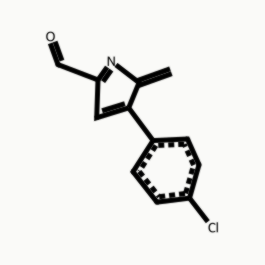 C=C1N=C(C=O)C=C1c1ccc(Cl)cc1